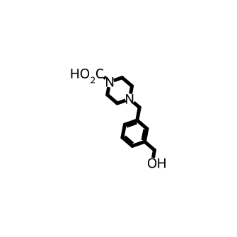 O=C(O)N1CCN(Cc2cccc(CO)c2)CC1